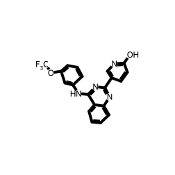 Oc1ccc(-c2nc(Nc3cccc(OC(F)(F)F)c3)c3ccccc3n2)cn1